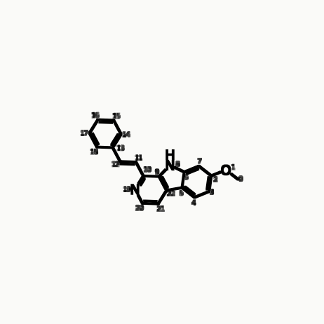 COc1ccc2c(c1)[nH]c1c(C=Cc3ccccc3)nccc12